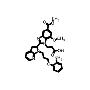 COC(=O)c1cc(OC)c2c(c1)nc(-c1cc3cccnc3n1CCCOc1ccccc1N)n2CCC(=O)O